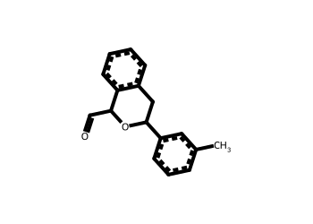 Cc1cccc(C2Cc3ccccc3C(C=O)O2)c1